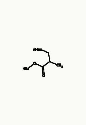 CCCCCCCC(C)C(=O)OC(C)(C)C